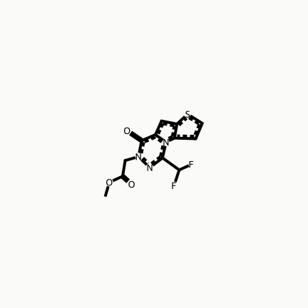 COC(=O)Cn1nc(C(F)F)n2c(cc3sccc32)c1=O